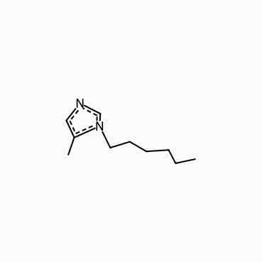 CCCCCCn1cncc1C